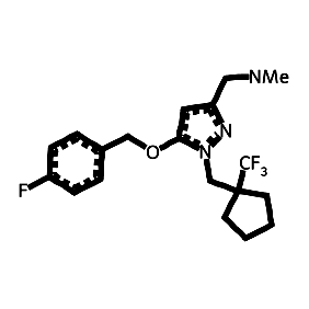 CNCc1cc(OCc2ccc(F)cc2)n(CC2(C(F)(F)F)CCCC2)n1